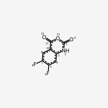 O=c1[nH]c2cc(F)c(F)cc2c(=O)o1